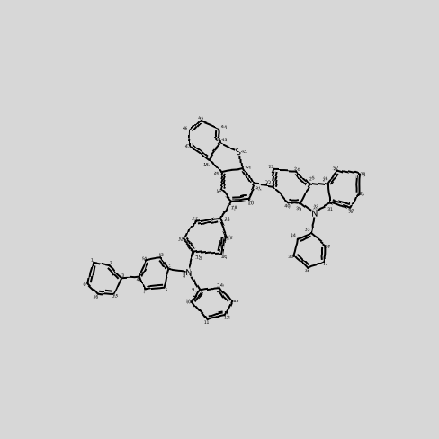 c1ccc(-c2ccc(N(c3ccccc3)c3ccc(-c4cc(-c5ccc6c7ccccc7n(-c7ccccc7)c6c5)c5sc6ccccc6c5c4)cc3)cc2)cc1